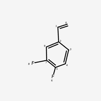 C=[C]c1ccc(F)c(F)c1